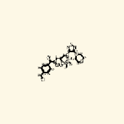 CC(C)(C)N(C[C@@H](COc1nsnc1N1CCOCC1)O[Si](C)(C)C(C)(C)C)C(=O)c1ccc(CCl)cc1